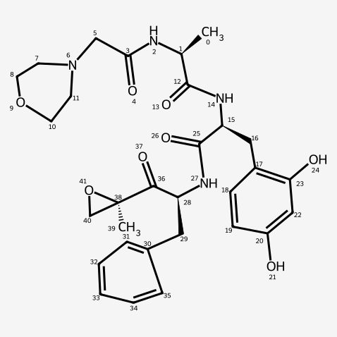 C[C@H](NC(=O)CN1CCOCC1)C(=O)N[C@@H](Cc1ccc(O)cc1O)C(=O)N[C@@H](Cc1ccccc1)C(=O)[C@@]1(C)CO1